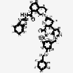 CC(C)(C)OC(=O)c1nc(N2CCc3cccc(C(=O)Nc4nc5ccccc5s4)c3C2)ccc1-c1cnn(Cc2cccc(OCc3ccccc3)c2)c1